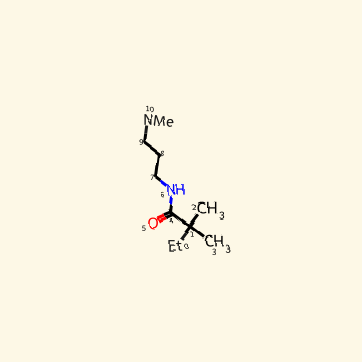 CCC(C)(C)C(=O)NCCCNC